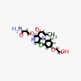 Cc1cc(=O)c2c(OC=CC(N)=O)ncc(Cl)c2n1-c1c(Cl)cc(OCCO)cc1Cl